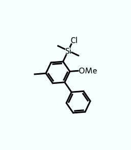 COc1c(-c2ccccc2)cc(C)cc1[Si](C)(C)Cl